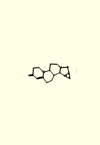 C[C@]12CCC(=O)C=C1CCC1C2CC[C@]2(C)C(=O)[C@H]3C[C@H]3C12